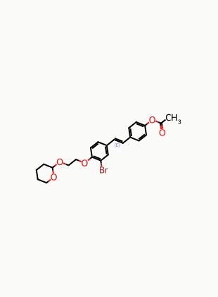 CC(=O)Oc1ccc(/C=C/c2ccc(OCCOC3CCCCO3)c(Br)c2)cc1